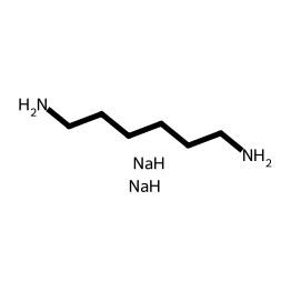 NCCCCCCN.[NaH].[NaH]